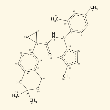 Cc1ccc(C(NC(=O)C2(c3ccc4c(c3)COC(C)(C)O4)CC2)c2ccc(C)o2)c(C)c1